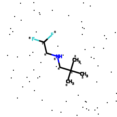 CC(C)(C)CNCC(F)F